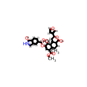 COC(=O)C1C=C(OC(=O)c2ccc3c(c2)CNC3=O)C(=O)C2C1(C)CCC1C(=O)OC(c3ccoc3)CC12C